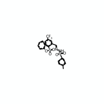 Cc1ccc(S(=O)(=O)NN=Cc2cc(C(F)(F)F)ccc2S(=O)(=O)Oc2ccccc2)cc1